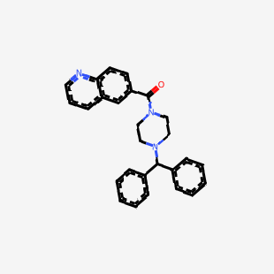 O=C(c1ccc2ncccc2c1)N1CCN(C(c2ccccc2)c2ccccc2)CC1